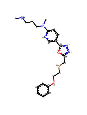 CNCCCN(C)c1ccc(-c2nnc(CSCCOc3ccccc3)o2)cn1